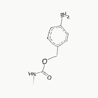 Bc1ccc(COC(=O)NC)cc1